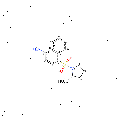 Nc1ccc(S(=O)(=O)N2CCCC2C(=O)O)c2ccccc12